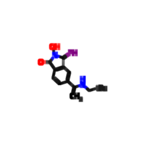 C=C(NCC(C)(C)C)c1ccc2c(c1)C(=P)N(O)C2=O